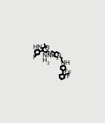 CC(=O)c1[nH]c2ccc(F)cc2c1/C(N)=C/N(N)CC1CCN(CCNC2=CC=C(c3ccccc3C(F)(F)F)CC2)CC1